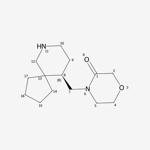 O=C1COCCN1C[C@@H]1CCNCC12CCCC2